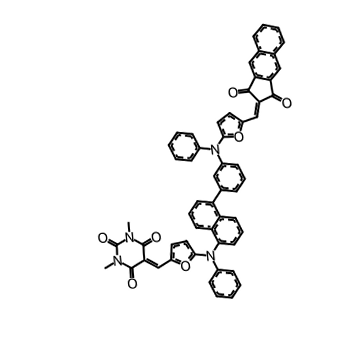 CN1C(=O)C(=Cc2ccc(N(c3ccccc3)c3cccc4c(-c5cccc(N(c6ccccc6)c6ccc(C=C7C(=O)c8cc9ccccc9cc8C7=O)o6)c5)cccc34)o2)C(=O)N(C)C1=O